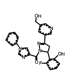 O=C(c1cn(-c2ccccc2)cn1)N1N=C(c2cncc(CO)c2)CC1c1c(O)cccc1F